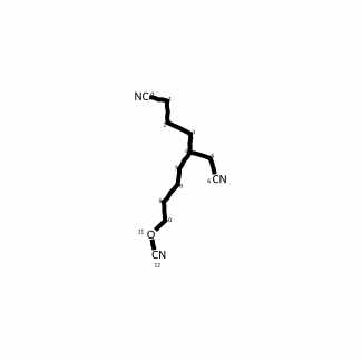 N#CCCCC(CC#N)CCCCOC#N